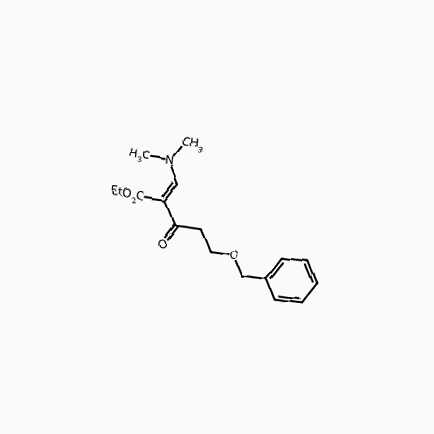 CCOC(=O)C(=CN(C)C)C(=O)CCOCc1ccccc1